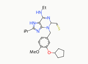 CCNC1=NC(C=S)N(Cc2ccc(OC)c(OC3CCCC3)c2)c2nc(C(C)C)[nH]c21